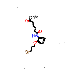 COC(=O)CCCCC(=O)Nc1ccccc1OCCCBr